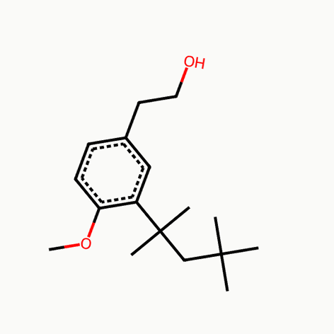 COc1ccc(CCO)cc1C(C)(C)CC(C)(C)C